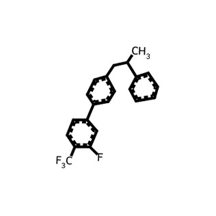 CC(Cc1ccc(-c2ccc(C(F)(F)F)c(F)c2)cc1)c1ccccc1